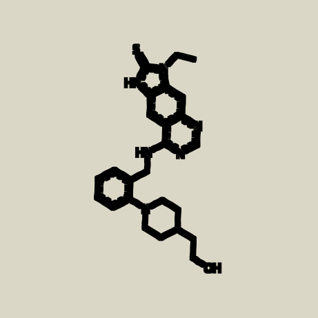 CCn1c(=S)[nH]c2cc3c(NCc4ccccc4N4CCC(CCO)CC4)ncnc3cc21